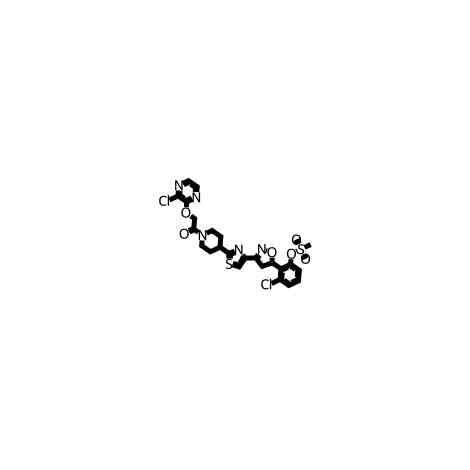 CS(=O)(=O)Oc1cccc(Cl)c1C1CC(c2csc(C3CCN(C(=O)COc4nccnc4Cl)CC3)n2)=NO1